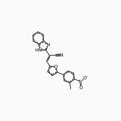 Cc1cc(-c2ccc(/C=C(\C#N)c3nc4ccccc4[nH]3)o2)ccc1[N+](=O)[O-]